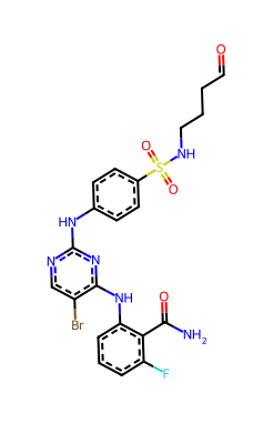 NC(=O)c1c(F)cccc1Nc1nc(Nc2ccc(S(=O)(=O)NCCCC=O)cc2)ncc1Br